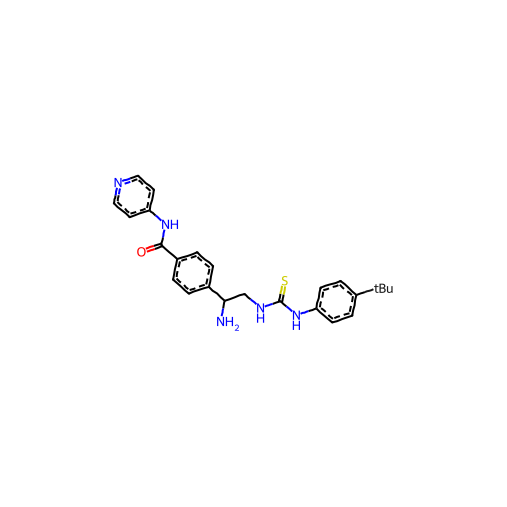 CC(C)(C)c1ccc(NC(=S)NCC(N)c2ccc(C(=O)Nc3ccncc3)cc2)cc1